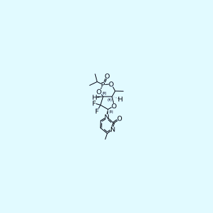 Cc1ccn([C@@H]2O[C@@H]3C(C)OP(=O)(C(C)C)O[C@H]3C2(F)F)c(=O)n1